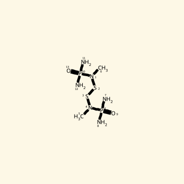 CN(SSN(C)P(N)(N)=O)P(N)(N)=O